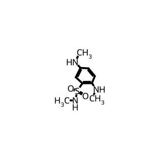 CNc1ccc(NC)c(S(=O)(=O)NC)c1